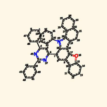 c1ccc(-c2cc(-c3cc4c5ccccc5oc4c4c5ccc6ccccc6c5n(-c5ccccc5)c34)nc(-c3ccccc3)n2)cc1